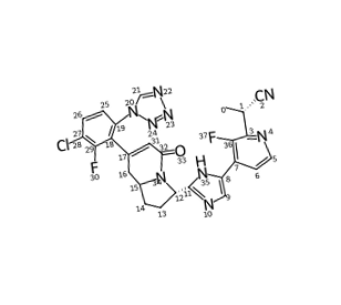 C[C@H](C#N)c1nccc(-c2cnc([C@@H]3CCC4CC(c5c(-n6cnnn6)ccc(Cl)c5F)=CC(=O)N43)[nH]2)c1F